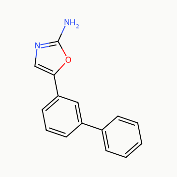 Nc1ncc(-c2cccc(-c3ccccc3)c2)o1